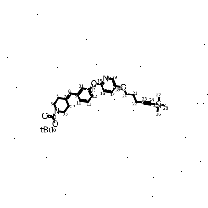 CC(C)(C)OC(=O)N1CCC(=Cc2cccc(Oc3ccc(OCCCC#C[Si](C)(C)C)cn3)c2)CC1